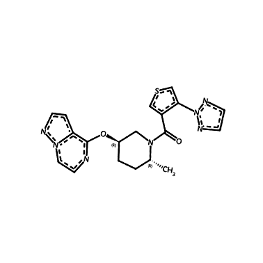 C[C@@H]1CC[C@@H](Oc2nccn3nccc23)CN1C(=O)c1cscc1-n1nccn1